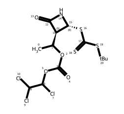 CC(OC(=O)OC(Cl)C(Cl)Cl)[C@H]1C(=O)N[C@@H]1SC(=S)SC(C)(C)C